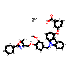 COc1cc(Cn2c3ccccc3c3c(Oc4cccc(C(=O)[O-])c4)cccc32)ccc1OCc1nc(-c2ccccc2)oc1C.[Na+]